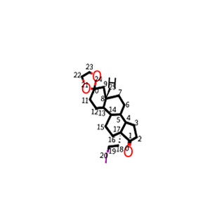 O=C1CCC2C3CC[C@H]4CC5(CCC4C3CC[C@]12CCI)OCCO5